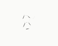 Fc1cccc2c[c]ccc12